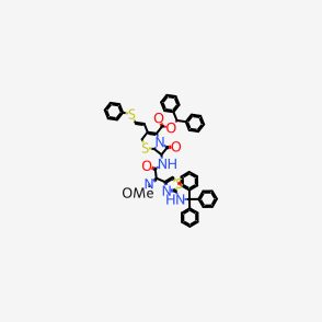 CO/N=C(/C(=O)NC1C(=O)N2C(C(=O)OC(c3ccccc3)c3ccccc3)=C(/C=C/Sc3ccccc3)CSC12)c1csc(NC(c2ccccc2)(c2ccccc2)c2ccccc2)n1